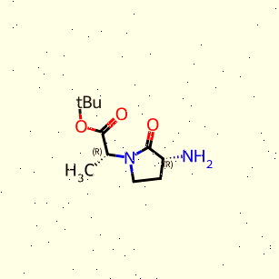 C[C@H](C(=O)OC(C)(C)C)N1CC[C@@H](N)C1=O